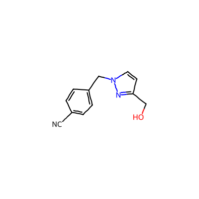 N#Cc1ccc(Cn2ccc(CO)n2)cc1